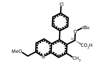 COCc1ccc2c(-c3ccc(Cl)cc3)c([C@H](OC(C)(C)C)C(=O)O)c(C)cc2n1